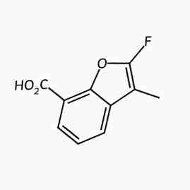 Cc1c(F)oc2c(C(=O)O)cccc12